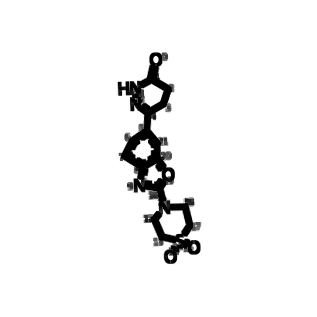 O=C1CCC(c2ccc3nc(N4CCS(=O)(=O)CC4)oc3c2)=NN1